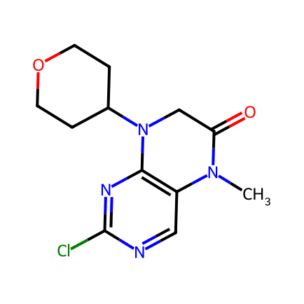 CN1C(=O)CN(C2CCOCC2)c2nc(Cl)ncc21